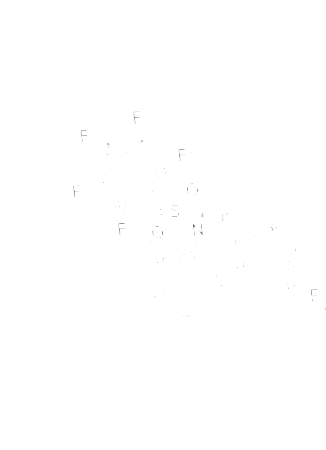 O=S(=O)(c1c(F)c(F)c(F)c(F)c1F)N(Cc1ccc(F)cc1)C1CCCCC1